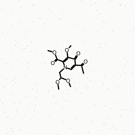 COC(=O)c1c(OC)c(=O)c(C(C)=O)cn1CC(OC)OC